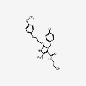 CNC1=C(C(=O)NCCO)N(Cc2ccc(Cl)cc2)C(OCCOc2ccc(OC(F)(F)F)cc2)N1